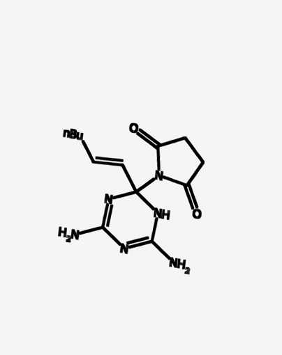 CCCCC=CC1(N2C(=O)CCC2=O)N=C(N)N=C(N)N1